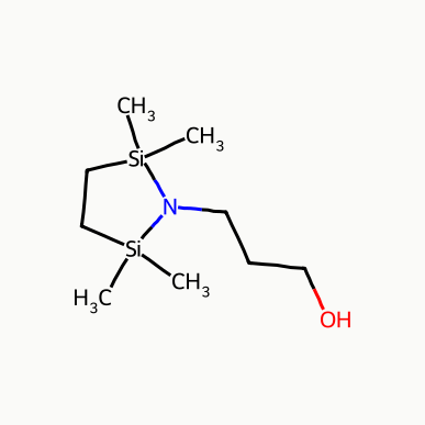 C[Si]1(C)CC[Si](C)(C)N1CCCO